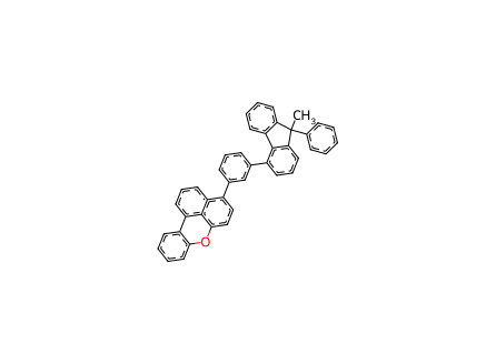 CC1(c2ccccc2)c2ccccc2-c2c(-c3cccc(-c4ccc5c6c(cccc46)-c4ccccc4O5)c3)cccc21